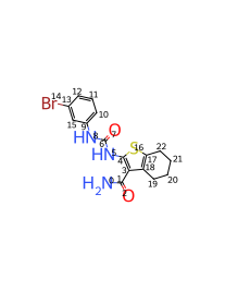 NC(=O)c1c(NC(=O)Nc2cccc(Br)c2)sc2c1CCCC2